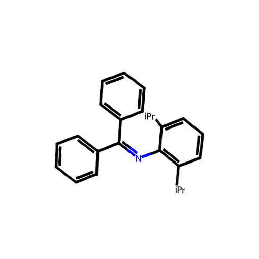 CC(C)c1cccc(C(C)C)c1N=C(c1ccccc1)c1ccccc1